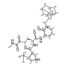 CNC(=O)C(=O)CC[C@H](NC(=O)c1c[nH]cc1C(C)(C)C)C(=O)Nc1cccn(CCC23CC4CC(CC(C4)C2)C3)c1=O